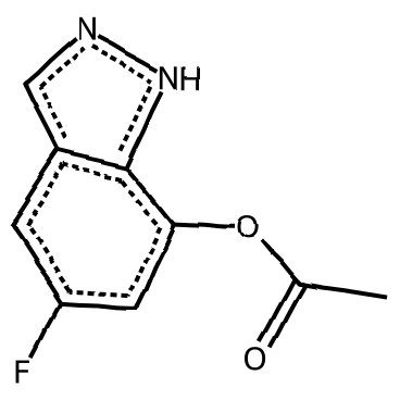 CC(=O)Oc1cc(F)cc2cn[nH]c12